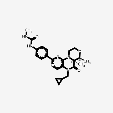 CNC(=O)Nc1ccc(-c2ncc3c(n2)N2CCO[C@@H](C)[C@@]2(C)C(=O)N3CC2CC2)cc1